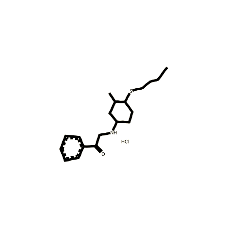 CCCCSC1CCC(NCC(=O)c2ccccc2)CC1C.Cl